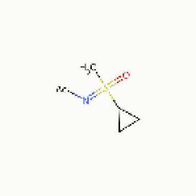 CC(=O)N=S(C)(=O)C1CC1